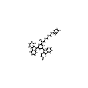 C=C/C=C\c1c(C)c2ccccc2n1-c1cc(C(=O)CCCCCCC2CC3C=CC2C3)cc(-n2c3c(c4ccccc42)C=CCC3)c1